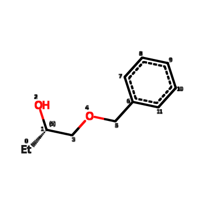 CC[C@H](O)COCc1ccccc1